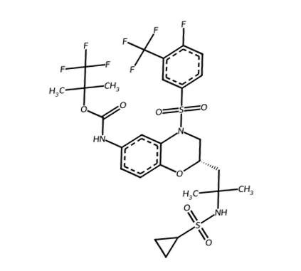 CC(C)(C[C@H]1CN(S(=O)(=O)c2ccc(F)c(C(F)(F)F)c2)c2cc(NC(=O)OC(C)(C)C(F)(F)F)ccc2O1)NS(=O)(=O)C1CC1